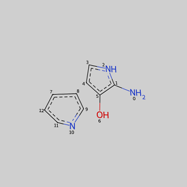 Nc1[nH]ccc1O.c1ccncc1